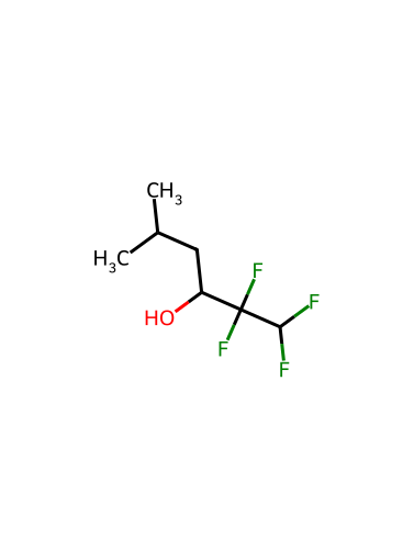 CC(C)CC(O)C(F)(F)C(F)F